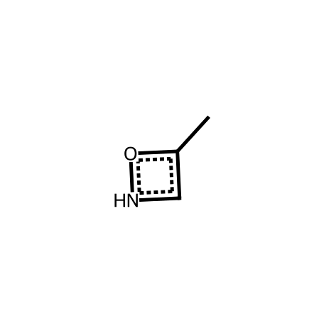 Cc1c[nH]o1